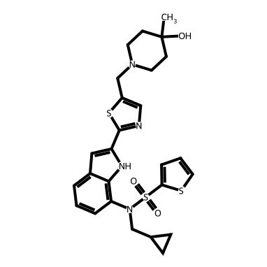 CC1(O)CCN(Cc2cnc(-c3cc4cccc(N(CC5CC5)S(=O)(=O)c5cccs5)c4[nH]3)s2)CC1